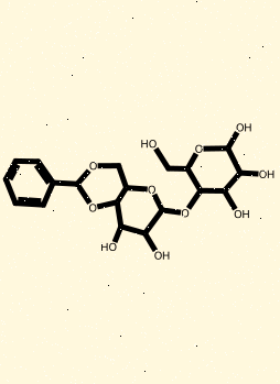 OCC1OC(O)C(O)C(O)C1OC1OC2COC(c3ccccc3)OC2C(O)C1O